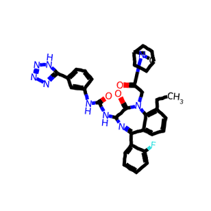 CCc1cccc2c1N(CC(=O)N1CC3CCC(CC3)C1)C(=O)C(NC(=O)Nc1cccc(-c3nnn[nH]3)c1)N=C2c1ccccc1F